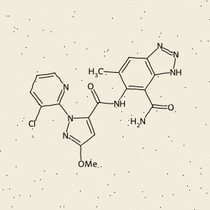 COc1cc(C(=O)Nc2c(C)cc3nn[nH]c3c2C(N)=O)n(-c2ncccc2Cl)n1